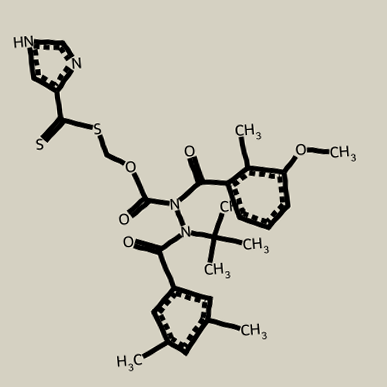 COc1cccc(C(=O)N(C(=O)OCSC(=S)c2c[nH]cn2)N(C(=O)c2cc(C)cc(C)c2)C(C)(C)C)c1C